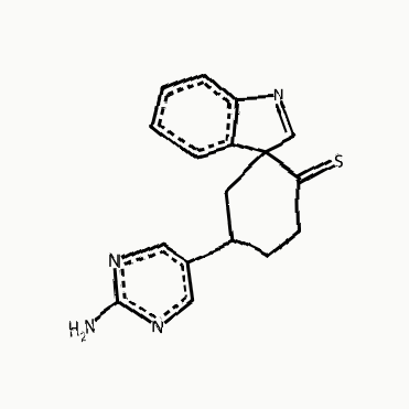 Nc1ncc(C2CCC(=S)C3(C=Nc4ccccc43)C2)cn1